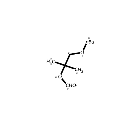 CCCCOCC(C)(C)O[C]=O